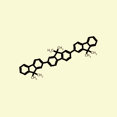 CC1(C)c2ccccc2-c2ccc(-c3ccc4c(c3)C(C)(C)c3cc(-c5ccc6c(c5)C(C)(C)c5ccccc5-6)ccc3-4)cc21